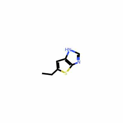 CCc1cc2[nH]cnc2s1